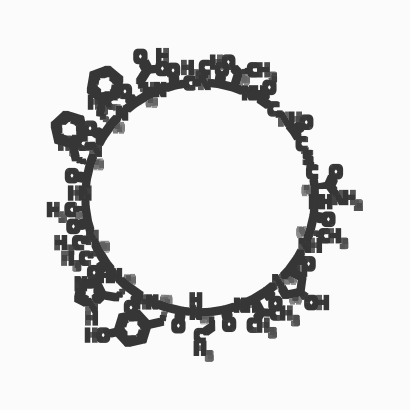 CC[C@@H]1NC(=O)[C@H](Cc2ccc(O)cc2)NC(=O)[C@H](Cc2cnc[nH]2)NC(=O)[C@H](C)N(C)C(=O)[C@H](C)NC(=O)[C@H](Cc2ccccc2)N(C)C(=O)[C@H](Cc2ccccc2)N(C)C(=O)[C@H](CC(=O)O)NC(=O)CN(C)C(=O)C([C@@H](C)O)NC(=O)CNC(=O)CSC[C@@H](C(N)=O)NC(=O)[C@H](C)NC(=O)[C@@H]2C[C@@H](O)CN2C(=O)C(C(C)C)NC1=O